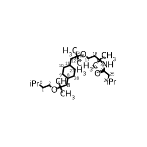 CC(C)CCOC(C)(C)CC1CCC(CC(C)(C)OCCC(C)(C)NC(=O)CC(C)C)CC1